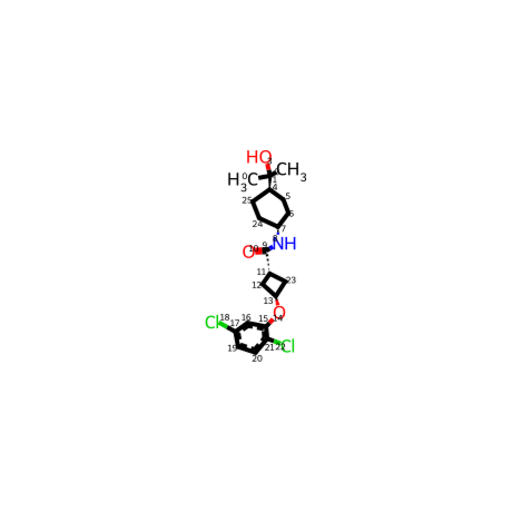 CC(C)(O)[C@H]1CC[C@H](NC(=O)[C@H]2C[C@H](Oc3cc(Cl)ccc3Cl)C2)CC1